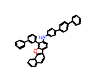 c1ccc(-c2ccc(-c3ccc(Nc4ccc5c(oc6c7ccccc7ccc56)c4-c4cccc(-c5ccccc5)c4)cc3)cc2)cc1